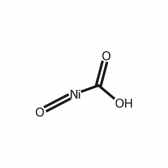 [O]=[Ni][C](=O)O